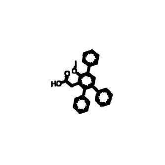 O=C(O)Cc1c(OI)c(-c2ccccc2)cc(-c2ccccc2)c1-c1ccccc1